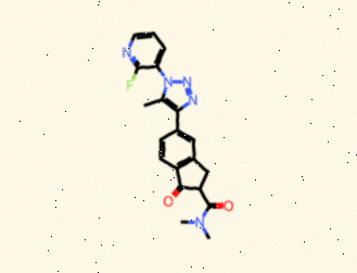 Cc1c(-c2ccc3c(c2)CC(C(=O)N(C)C)C3=O)nnn1-c1cccnc1F